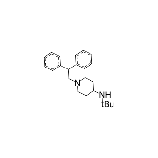 CC(C)(C)NC1CCN(CC(c2ccccc2)c2ccccc2)CC1